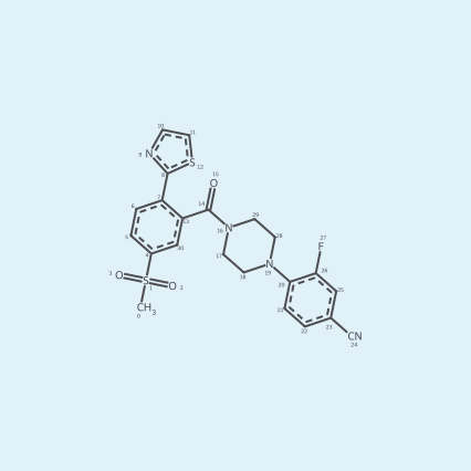 CS(=O)(=O)c1ccc(-c2nccs2)c(C(=O)N2CCN(c3ccc(C#N)cc3F)CC2)c1